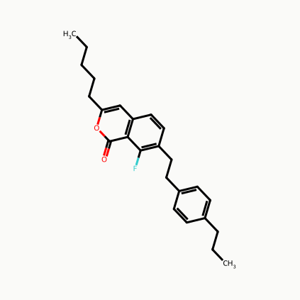 CCCCCc1cc2ccc(CCc3ccc(CCC)cc3)c(F)c2c(=O)o1